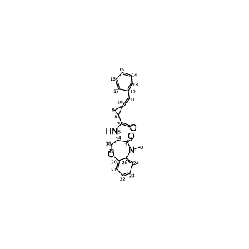 CN1C(=O)[C@@H](NC(=O)C2C/C2=C\c2ccccc2)COc2ccccc21